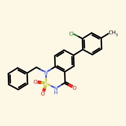 Cc1ccc(-c2ccc3c(c2)C(=O)NS(=O)(=O)N3Cc2ccccc2)c(Cl)c1